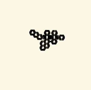 c1ccc(N2c3ccccc3N3B4c5ccccc5N(c5ccc6cc7ccccc7cc6c5)c5c4c(c4ccc6cccc7ccc5c4c67)-c4cccc2c43)cc1